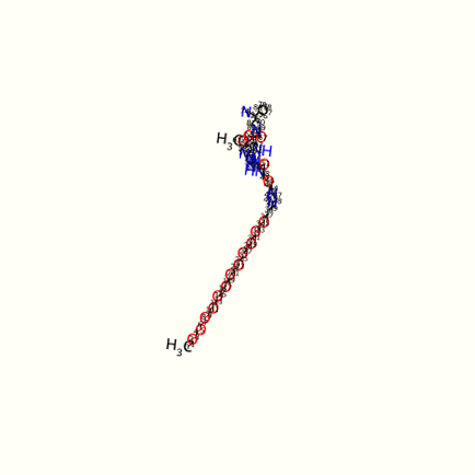 CCOCCOCCOCCOCCOCCOCCOCCOCCOCCOCCOCCOCCCCN1CCN(CCOCCNC(=O)c2ncn(-c3ncc(OC)c4c(C(=O)C(=O)N5CCC(=C(C#N)c6ccccc6)CC5)c[nH]c34)n2)CC1